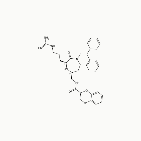 N=C(N)NCCC[C@@H]1N[C@H](CNC(=O)C2COc3ccccc3O2)CCN(CC(c2ccccc2)c2ccccc2)C1=O